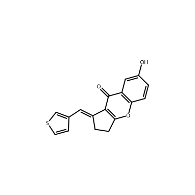 O=c1c2c(oc3ccc(O)cc13)CCC2=Cc1ccsc1